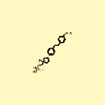 CCCOc1ccc(CCc2ccc([C@@H]3CC[C@](N)(COP(=O)(O)O)C3)cc2)cc1